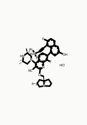 CC(C)[Si](C#Cc1c(F)ccc2cc(O)cc(-c3ccc4c(N5C[C@H](C)N[C@@H](C)C5)c(C#N)c(OC[C@@]56CCCN5C[C@H](F)C6)nc4c3F)c12)(C(C)C)C(C)C.Cl